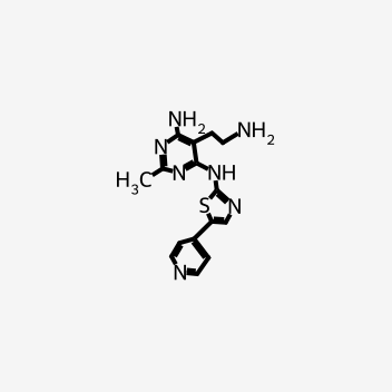 Cc1nc(N)c(CCN)c(Nc2ncc(-c3ccncc3)s2)n1